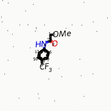 [CH2]OCC(=O)Nc1ccc(C(F)(F)F)cc1